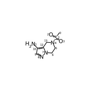 CS(=O)(=O)N1CCn2ncc(N)c2C1